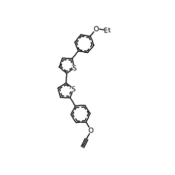 C#COc1ccc(-c2ccc(-c3ccc(-c4ccc(OCC)cc4)s3)s2)cc1